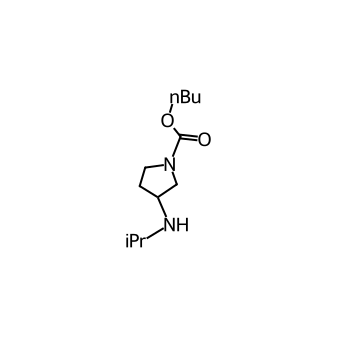 CCCCOC(=O)N1CCC(NC(C)C)C1